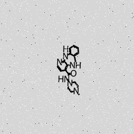 CN1CCN(NC(=O)c2ccnc3c2NCc2ccccc2N3)CC1